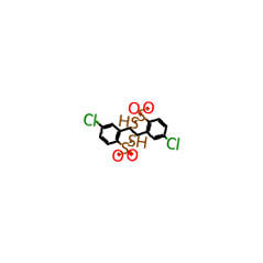 O=S(=O)(S)c1ccc(Cl)cc1CCc1cc(Cl)ccc1S(=O)(=O)S